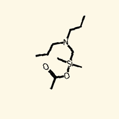 CCCN(CCC)C[Si](C)(C)OC(C)=O